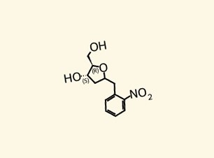 O=[N+]([O-])c1ccccc1CC1C[C@H](O)[C@@H](CO)O1